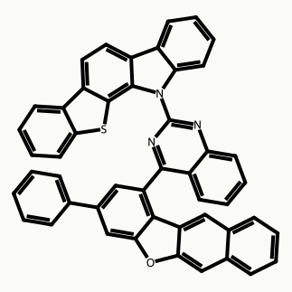 c1ccc(-c2cc(-c3nc(-n4c5ccccc5c5ccc6c7ccccc7sc6c54)nc4ccccc34)c3c(c2)oc2cc4ccccc4cc23)cc1